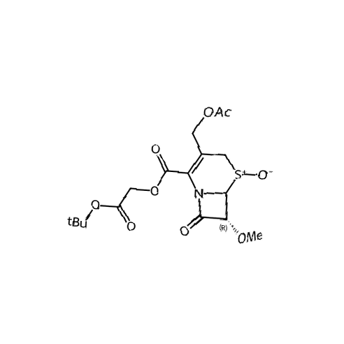 CO[C@@H]1C(=O)N2C(C(=O)OCC(=O)OC(C)(C)C)=C(COC(C)=O)C[S+]([O-])C12